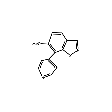 COc1ccc2cnsc2c1-c1ccncc1